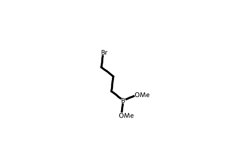 COB(CCCBr)OC